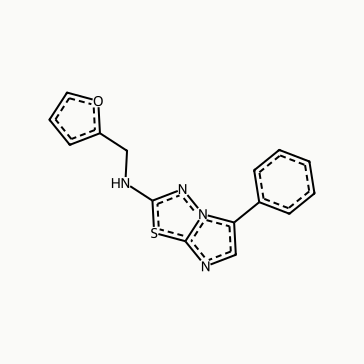 c1ccc(-c2cnc3sc(NCc4ccco4)nn23)cc1